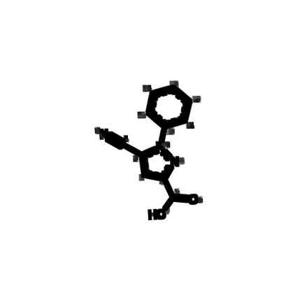 N#Cc1cc(C(=O)O)nn1-c1ccccc1